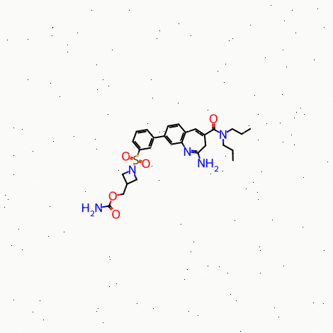 CCCN(CCC)C(=O)C1=Cc2ccc(-c3cccc(S(=O)(=O)N4CC(COC(N)=O)C4)c3)cc2N=C(N)C1